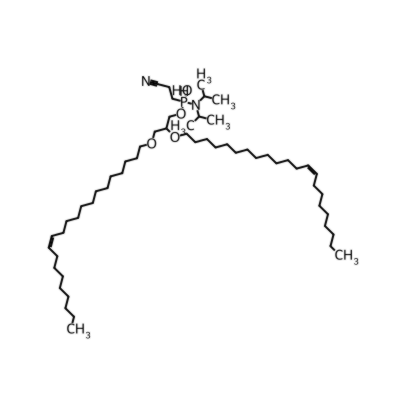 CCCCCCCC/C=C\CCCCCCCCCCCCOCC(CO[PH](O)(CCC#N)N(C(C)C)C(C)C)OCCCCCCCCCCCC/C=C\CCCCCCCC